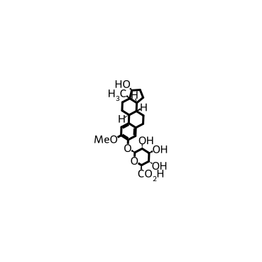 COc1cc2c(cc1O[C@@H]1O[C@H](C(=O)O)[C@@H](O)[C@H](O)[C@H]1O)CC[C@@H]1[C@@H]2CC[C@]2(C)[C@@H](O)CC[C@@H]12